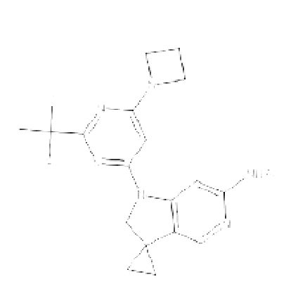 CC(=O)Nc1cc2c(cn1)C1(CC1)CN2c1cc(N2CCC2)nc(C(C)(F)F)n1